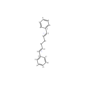 [CH](/C=C/c1ccccc1)C/C=C/c1ccccc1